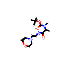 CC(C(=O)NCCN1CCOCC1)N(C)C(=O)OC(C)(C)C